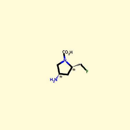 N[C@H]1C[C@@H](CF)N(C(=O)O)C1